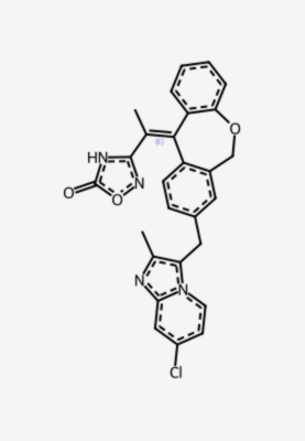 C/C(=C1/c2ccc(Cc3c(C)nc4cc(Cl)ccn34)cc2COc2ccccc21)c1noc(=O)[nH]1